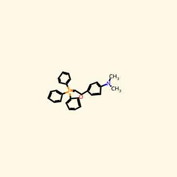 CN(C)c1ccc(C(=O)C=P(c2ccccc2)(c2ccccc2)c2ccccc2)cc1